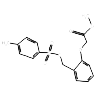 COC(=O)COc1ccccc1COS(=O)(=O)c1ccc(C)cc1